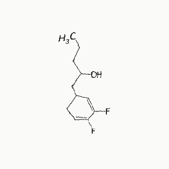 CCCC(O)CC1C=C(F)C(F)=CC1